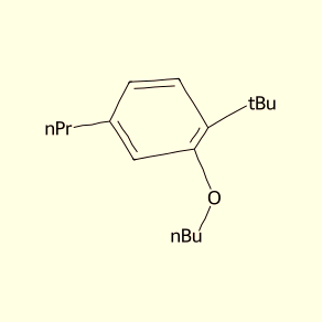 CCCCOc1cc(CCC)ccc1C(C)(C)C